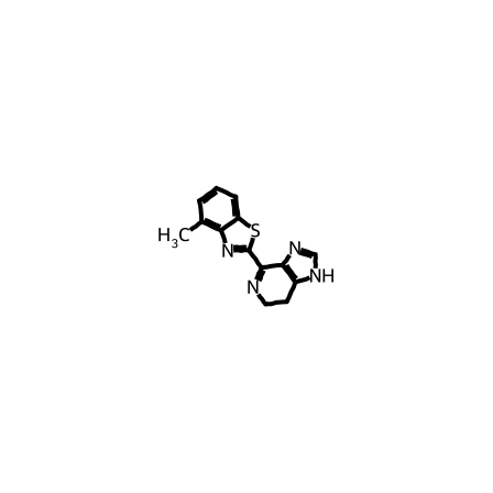 Cc1cccc2sc(C3=NCCc4[nH]cnc43)nc12